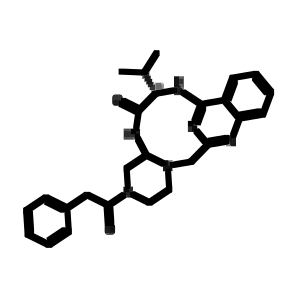 CC(C)[C@@H]1Nc2nc(nc3ccccc23)CN2CCN(C(=O)Cc3ccccc3)CC2NC1=O